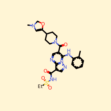 CCS(=O)(=O)NC(=O)c1cnn2c(Nc3ccccc3C)c(C(=O)N3CCC(C4=CN(C)CO4)CC3)cnc12